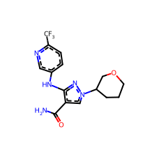 NC(=O)c1cn(C2CCCOC2)nc1Nc1ccc(C(F)(F)F)nc1